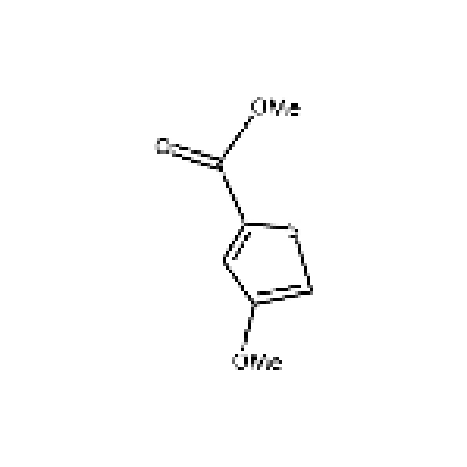 COC(=O)c1cc(OC)cs1